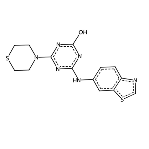 Oc1nc(Nc2ccc3ncsc3c2)nc(N2CCSCC2)n1